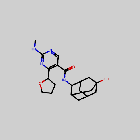 CNc1ncc(C(=O)NC2C3CC4CC2CC(O)(C4)C3)c([C@H]2CCCO2)n1